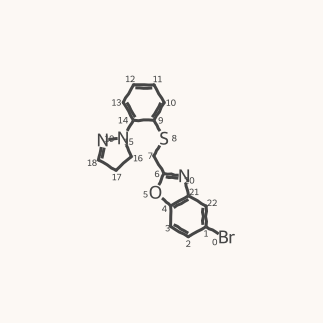 Brc1ccc2oc(CSc3ccccc3N3CCC=N3)nc2c1